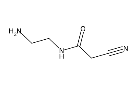 N#CCC(=O)NCCN